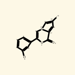 O=c1oc(-c2cccc(Cl)c2)cn2cc(I)cc12